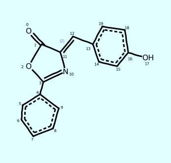 O=C1OC(c2ccccc2)=N/C1=C\c1ccc(O)cc1